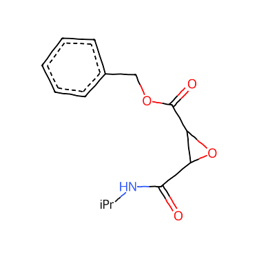 CC(C)NC(=O)C1OC1C(=O)OCc1ccccc1